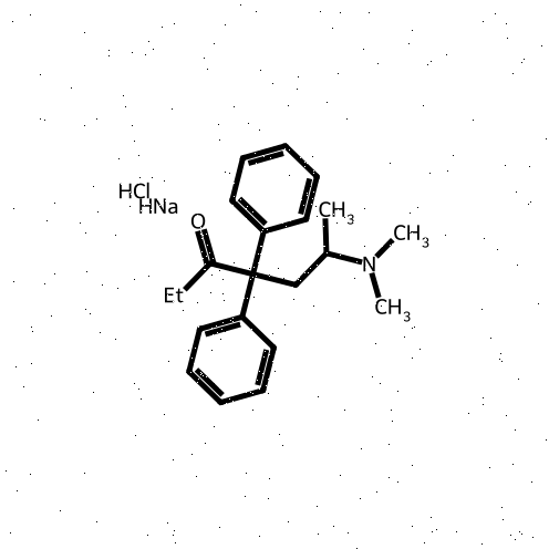 CCC(=O)C(CC(C)N(C)C)(c1ccccc1)c1ccccc1.Cl.[NaH]